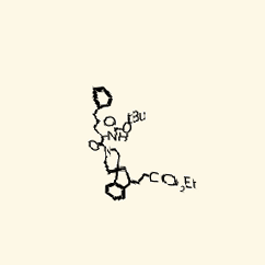 CCOC(=O)CCC1CC2(CCN(C(=O)[C@@H](CCCc3ccccc3)NC(=O)OC(C)(C)C)CC2)c2ccccc21